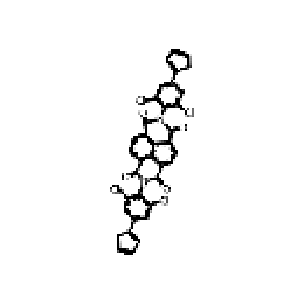 O=C1c2ccc3c4c(ccc(c24)C(=O)N1c1c(Cl)cc(C2=CC=CC2)cc1Cl)C(=O)N(c1c(Cl)cc(C2=CC=CC2)cc1Cl)C3=O